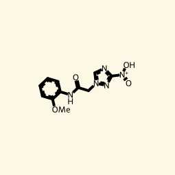 COc1ccccc1NC(=O)Cn1cnc([N+](=O)O)n1